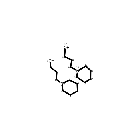 OCCCN1CCCCC1.OCCCN1CCCCC1